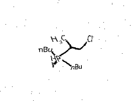 CCCC[PH](I)(CCCC)C(C)CCl